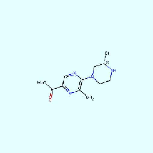 Bc1nc(C(=O)OC)cnc1N1CCN[C@@H](CC)C1